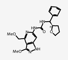 COCc1nc(NC(=O)NC(c2ccccc2)[C@H]2CCCO2)cc2[nH]nc(OC)c12